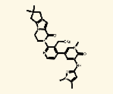 CC(=O)OCc1c(-c2cc(Nc3cc(C)n(C)n3)c(=O)n(C)c2)ccnc1N1CCn2c(cc3c2CC(C)(C)C3)C1=O